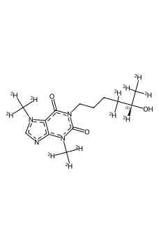 [2H]C([2H])([2H])n1cnc2c1c(=O)n(CCCC([2H])([2H])[C@@]([2H])(O)C([2H])([2H])[2H])c(=O)n2C([2H])([2H])[2H]